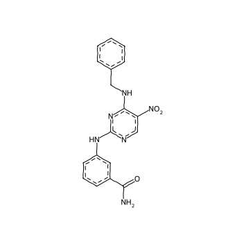 NC(=O)c1cccc(Nc2ncc([N+](=O)[O-])c(NCc3ccccc3)n2)c1